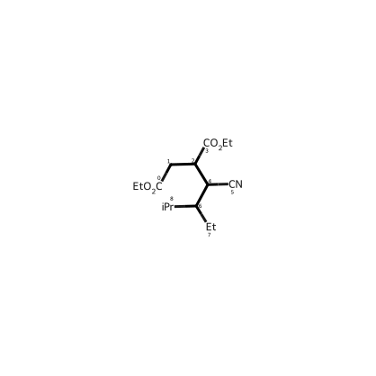 CCOC(=O)CC(C(=O)OCC)C(C#N)C(CC)C(C)C